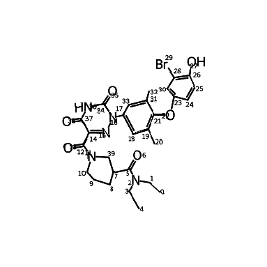 CCN(CC)C(=O)C1CCCN(C(=O)c2nn(-c3cc(C)c(Oc4ccc(O)c(Br)c4)c(C)c3)c(=O)[nH]c2=O)C1